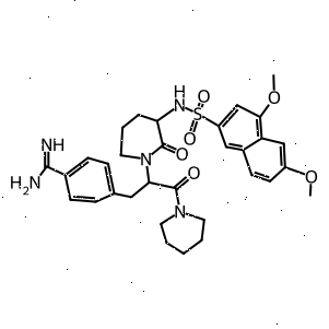 COc1ccc2cc(S(=O)(=O)NC3CCCN(C(Cc4ccc(C(=N)N)cc4)C(=O)N4CCCCC4)C3=O)cc(OC)c2c1